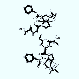 CN[C@@H](C)C(=O)N[C@@H](CCCC[C@H](NC(=O)[C@H](C)NC)C(=O)N1CC[C@@H]2[C@H]1[C@@H](C(=O)Nc1ccccc1)CN2S(C)(=O)=O)C(=O)N1CC[C@@H]2[C@H]1[C@@H](C(=O)Nc1ccccc1)CN2S(C)(=O)=O